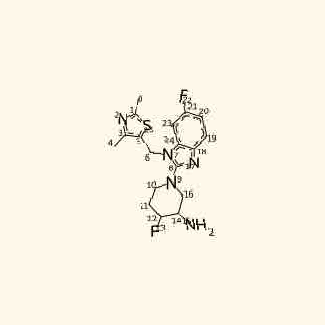 Cc1nc(C)c(Cn2c(N3CCC(F)C(N)C3)nc3ccc(F)cc32)s1